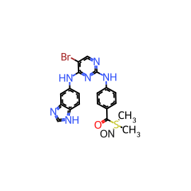 CS(C)(N=O)C(=O)c1ccc(Nc2ncc(Br)c(Nc3ccc4[nH]cnc4c3)n2)cc1